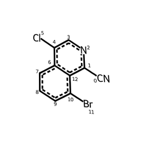 N#Cc1ncc(Cl)c2cccc(Br)c12